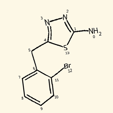 Nc1nnc(Cc2ccccc2Br)s1